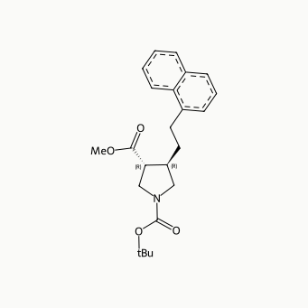 COC(=O)[C@H]1CN(C(=O)OC(C)(C)C)C[C@@H]1CCc1cccc2ccccc12